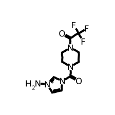 N[n+]1ccn(C(=O)N2CCN(C(=O)C(F)(F)F)CC2)c1